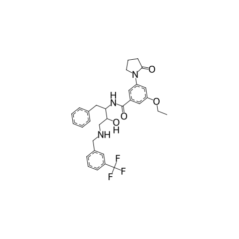 CCOc1cc(C(=O)NC(Cc2ccccc2)C(O)CNCc2cccc(C(F)(F)F)c2)cc(N2CCCC2=O)c1